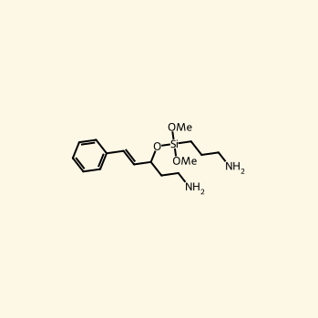 CO[Si](CCCN)(OC)OC(C=Cc1ccccc1)CCN